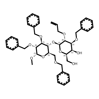 C=CCO[C@H]1[C@H](O[C@H]2[C@H](OCc3ccccc3)[C@@H](OCc3ccccc3)[C@@H](OC)O[C@@H]2COCc2ccccc2)O[C@H](CO)[C@H](O)[C@@H]1OCc1ccccc1